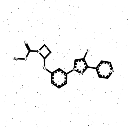 CC(C)(C)OC(=O)N1CCC1Oc1cccc(-n2cc(Br)c(-c3ccncc3)n2)c1